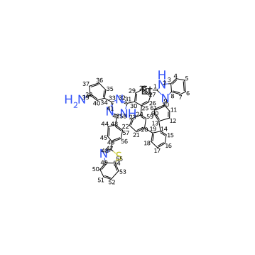 CCC1Nc2ccccc2N1c1ccc(-c2ccccc2-c2cccc(-c3ccccc3C3=NC(c4cccc(N)c4)=NC(c4ccc(-c5nc6ccccc6s5)cc4)N3)c2)cc1